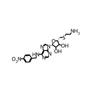 NCCSC[C@H]1O[C@@H](n2cnc3c(NCc4ccc([N+](=O)[O-])cc4)ncnc32)C(O)C1O